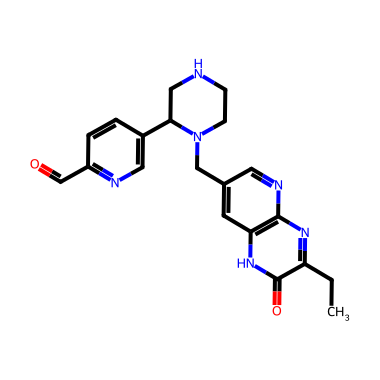 CCc1nc2ncc(CN3CCNCC3c3ccc(C=O)nc3)cc2[nH]c1=O